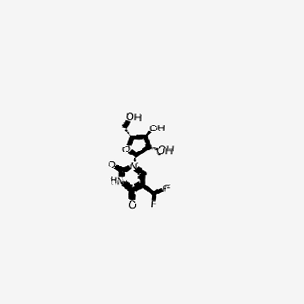 O=c1[nH]c(=O)n([C@@H]2O[C@H](CO)[C@@H](O)[C@@H]2O)cc1C(F)F